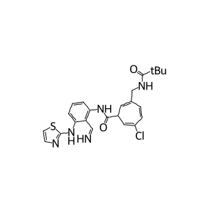 CC(C)(C)C(=O)NCC1=CC(C(=O)Nc2cccc(Nc3nccs3)c2C=N)C=C(Cl)C=C1